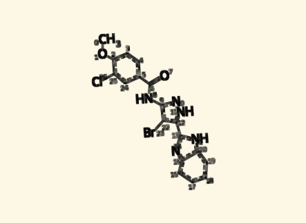 COc1ccc(C(=O)Nc2n[nH]c(-c3nc4ccccc4[nH]3)c2Br)cc1Cl